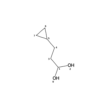 OC(O)CCC1CC1